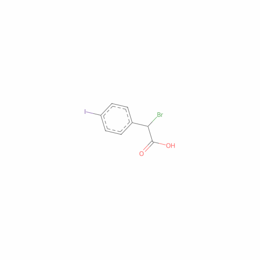 O=C(O)C(Br)c1ccc(I)cc1